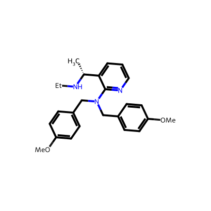 CCN[C@H](C)c1cccnc1N(Cc1ccc(OC)cc1)Cc1ccc(OC)cc1